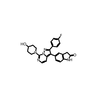 O=C1Cc2cc(-c3c(-c4ccc(F)cc4)nn4c(N5CCC(O)CC5)nccc34)ccc2N1